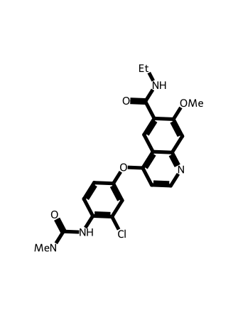 CCNC(=O)c1cc2c(Oc3ccc(NC(=O)NC)c(Cl)c3)ccnc2cc1OC